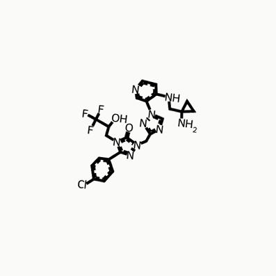 NC1(CNc2ccncc2-n2cnc(Cn3nc(-c4ccc(Cl)cc4)n(CC(O)C(F)(F)F)c3=O)n2)CC1